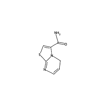 NC(=O)C1=CSC2=NC=CCN12